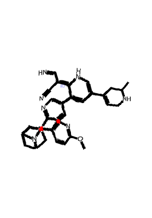 COc1ccc(CN2C3CC2CN(c2ccc(C4=CC(C5=CCNC(C)C5)=CN/C4=C(/C#N)C=N)cn2)C3)cn1